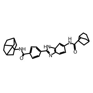 O=C(NC12CC3CC(CC(C3)C1)C2)c1ccc(-c2nc3ccc(NC(=O)C4CC5CCC4CC5)cc3[nH]2)cc1